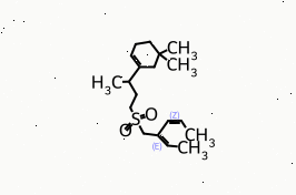 C/C=C\C(=C/C)CS(=O)(=O)CCC(C)C1=CCCC(C)(C)C1